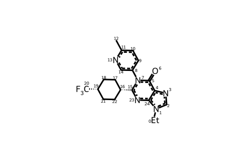 CCn1cnc2c(=O)n(-c3ccc(C)nc3)c([C@H]3CC[C@@H](C(F)(F)F)CC3)nc21